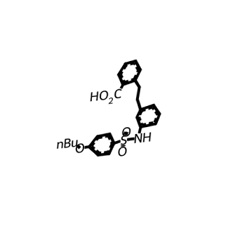 CCCCOc1ccc(S(=O)(=O)Nc2cccc(CCc3ccccc3C(=O)O)c2)cc1